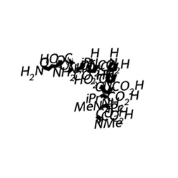 CC(C)CC(N)C(=O)O.CC(C)C[C@@H](C(=O)O)N(C)C[C@H](OC(=O)C(N)CCC(N)=O)C(=O)O.CNC(CC(C)C)C(=O)O.CN[C@@H](C)C(=O)O.O=C(O)C1CCCN1.O=C(O)[C@@H]1CCCN1.O=C1CC[C@@H](C(=O)O)N1.O=C1CC[C@@H](C(=O)O)N1